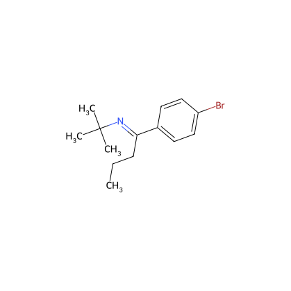 CCC/C(=N\C(C)(C)C)c1ccc(Br)cc1